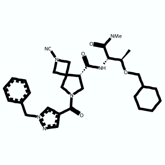 CNC(=O)[C@@H](NC(=O)[C@@H]1CN(C(=O)c2cnn(Cc3ccccc3)c2)CC12CN(C#N)C2)[C@@H](C)OCC1CCCCC1